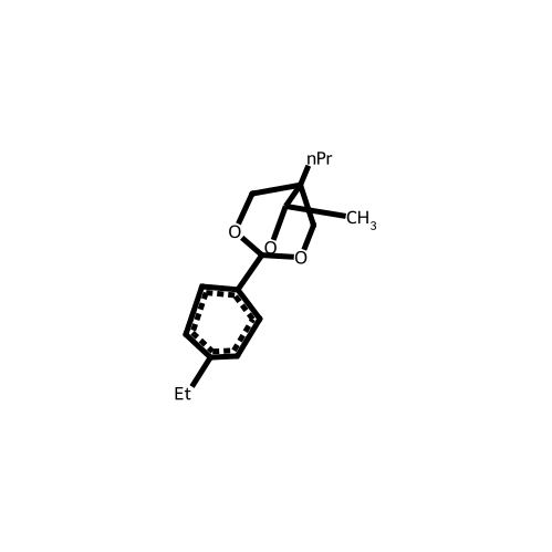 CCCC12COC(c3ccc(CC)cc3)(OC1)OC2C